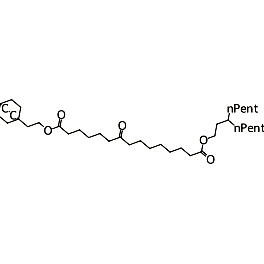 CCCCCC(CCCCC)CCOC(=O)CCCCCCCC(=O)CCCCCC(=O)OCCC12CCC(CC1)CC2